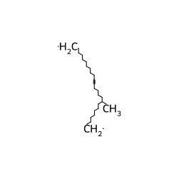 [CH2]CCCCCCCCCC#CCCCCC(CC)CCCCCCC[CH2]